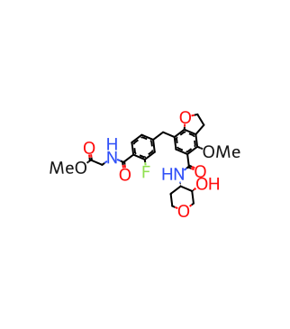 COC(=O)CNC(=O)c1ccc(Cc2cc(C(=O)N[C@H]3CCOC[C@@H]3O)c(OC)c3c2OCC3)cc1F